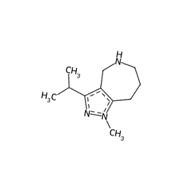 CC(C)c1nn(C)c2c1CNCCC2